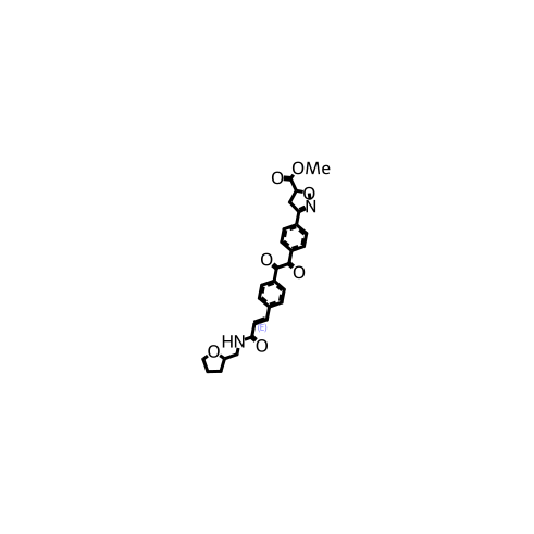 COC(=O)C1CC(c2ccc(C(=O)C(=O)c3ccc(/C=C/C(=O)NCC4CCCO4)cc3)cc2)=NO1